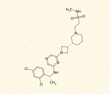 CNS(=O)(=O)CCN1CCC[C@H](C2CN(c3cncc(N[C@H](C)c4ccc(Cl)cc4Cl)n3)C2)C1